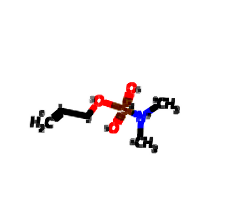 C=CCOS(=O)(=O)N(C)C